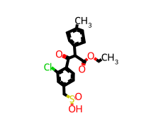 CCOC(=O)C(C(=O)c1ccc(CS(=O)O)cc1Cl)c1ccc(C)cc1